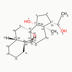 CC(O)[C@H]1CC[C@]2(O)[C@@]34CC[C@H]5CCCC[C@]5(CO3)[C@H]4CC[C@]12C